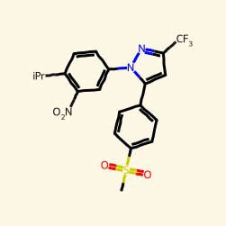 CC(C)c1ccc(-n2nc(C(F)(F)F)cc2-c2ccc(S(C)(=O)=O)cc2)cc1[N+](=O)[O-]